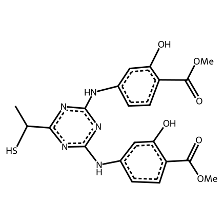 COC(=O)c1ccc(Nc2nc(Nc3ccc(C(=O)OC)c(O)c3)nc(C(C)S)n2)cc1O